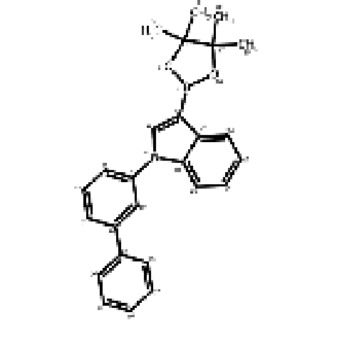 CC1(C)OB(c2cn(-c3cccc(-c4ccccc4)c3)c3ccccc23)OC1(C)C